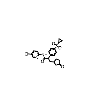 O=C1CCC(CC(C(=O)Nc2ccc(Cl)cn2)c2ccc(S(=O)(=O)C3CC3)cc2)C1